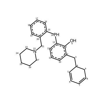 Oc1c(CC2C=CC=CC2)cccc1Pc1ccccc1CN1CCCCC1